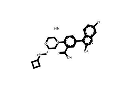 Br.Cc1sc2cc(Cl)ccc2c1-c1ccc(N2CCO[C@@H](CNC3CCC3)C2)c(C(=O)O)c1